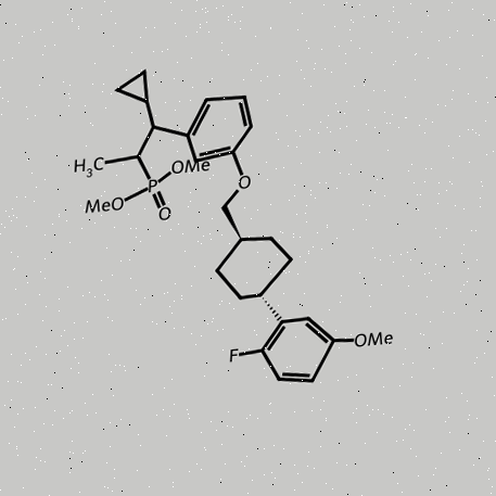 COc1ccc(F)c([C@H]2CC[C@H](COc3cccc(C(C4CC4)C(C)P(=O)(OC)OC)c3)CC2)c1